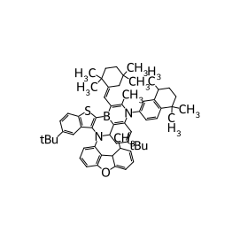 CC1=C(/C=C2\CC(C)(C)CCC2(C)C)B2C3=C(C=C(C(C)(C)C)CC3N(c3cccc4c3C3C(=CC=CC3C)O4)c3c2sc2ccc(C(C)(C)C)cc32)N1c1ccc2c(c1)C(C)CCC2(C)C